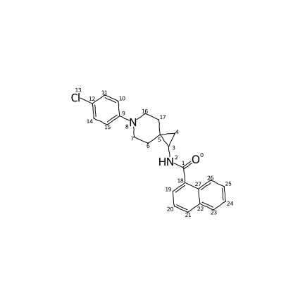 O=C(NC1CC12CCN(c1ccc(Cl)cc1)CC2)c1cccc2ccccc12